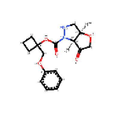 O=C1CO[C@@H]2CNN(C(=O)OC3(COc4ccccc4)CCC3)[C@H]12